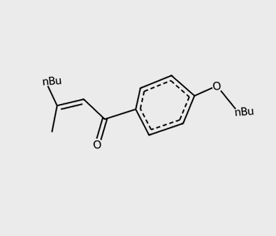 CCCCOc1ccc(C(=O)/C=C(\C)CCCC)cc1